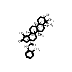 Cc1ccccc1NC(=O)[C@@]12CC[C@]3(C)[C@H](CC[C@@H]4[C@@]5(C)CC[C@H](O)C(C)(C)[C@@H]5CC[C@]43C)C1=C(C(C)C)C(=O)C2